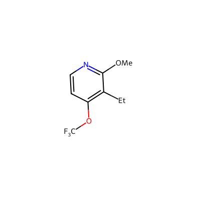 CCc1c(OC(F)(F)F)ccnc1OC